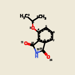 CC(C)Oc1cccc2c1C(=O)NC2=O